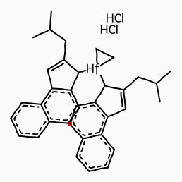 CC(C)CC1=Cc2c(ccc3ccccc23)[CH]1[Hf]1([CH]2C(CC(C)C)=Cc3c2ccc2ccccc32)[CH2][CH2]1.Cl.Cl